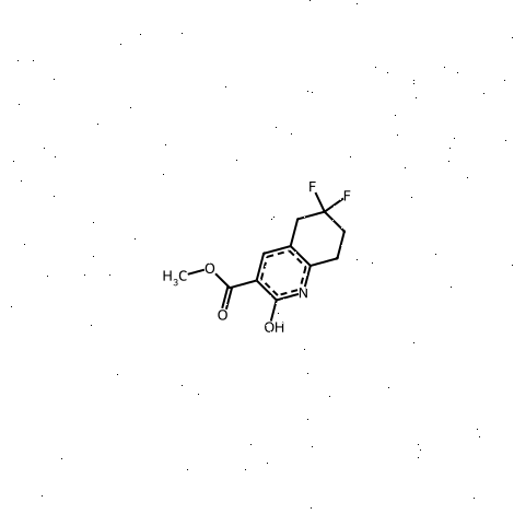 COC(=O)c1cc2c(nc1O)CCC(F)(F)C2